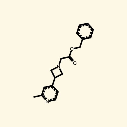 Cc1cc(C2CN(CC(=O)OCc3ccccc3)C2)ccn1